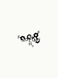 C[C@H]1[C@H](Oc2ccc(F)cn2)CCCN1C(=O)c1ccc(F)cc1-c1ncccn1